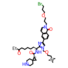 CCC(=O)CCCCC[C@H](NC(=O)[C@H]1CC12CCNCC2)c1nc(-c2ccc3c(=O)n(CCCOCCCBr)ccc3c2)cn1COCC[Si](C)(C)C